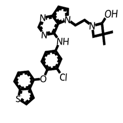 CC1(C)CN(CCn2ccc3ncnc(Nc4ccc(Oc5cccc6sccc56)c(Cl)c4)c32)C1O